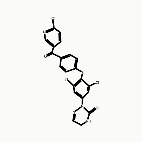 O=C(c1ccc(Sc2c(Cl)cc(N3N=CCNC3=O)cc2Cl)cc1)c1ccc(Cl)nc1